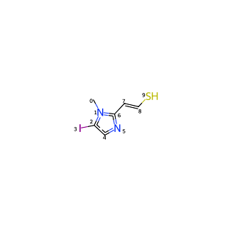 Cn1c(I)cnc1C=CS